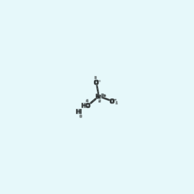 I.[O-][Br+2]([O-])O